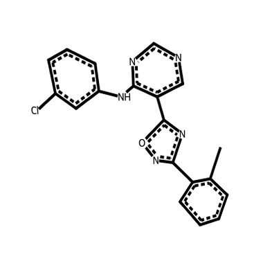 Cc1ccccc1-c1noc(-c2cncnc2Nc2cccc(Cl)c2)n1